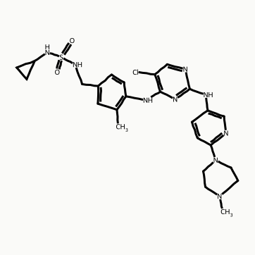 Cc1cc(CNS(=O)(=O)NC2CC2)ccc1Nc1nc(Nc2ccc(N3CCN(C)CC3)nc2)ncc1Cl